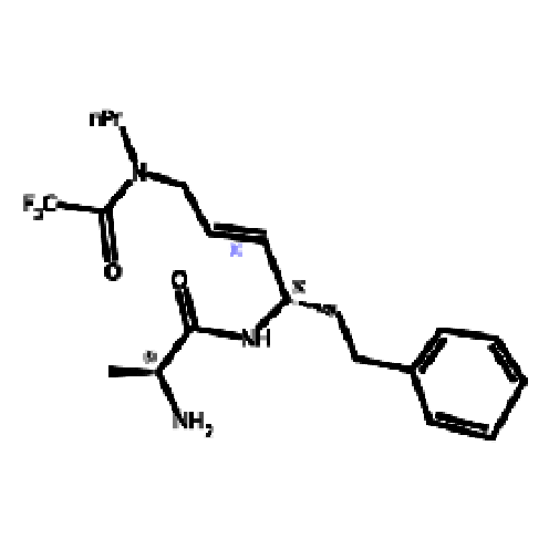 CCCN(C/C=C/[C@H](CCc1ccccc1)NC(=O)[C@H](C)N)C(=O)C(F)(F)F